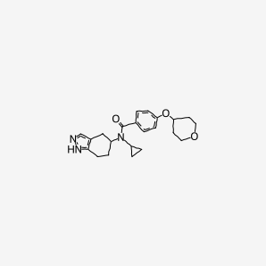 O=C(c1ccc(OC2CCOCC2)cc1)N(C1CC1)C1CCc2[nH]ncc2C1